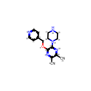 N#Cc1nc(OCc2ccncc2)c(N2CCNCC2)nc1C#N